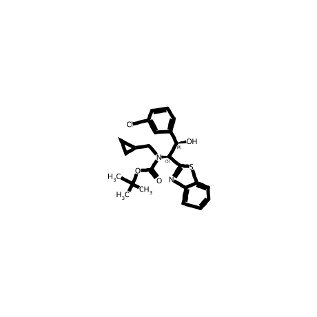 CC(C)(C)OC(=O)N(CC1CC1)[C@H](c1nc2ccccc2s1)[C@H](O)c1cccc(Cl)c1